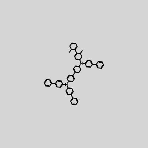 CC1CC=CC=C1C1=CC=C(N(C2=CC=C(c3ccc(N(c4ccc(-c5ccccc5)cc4)c4ccc(-c5ccccc5)cc4)cc3)CC2)c2ccc(-c3ccccc3)cc2)CC1C